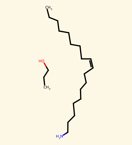 CCCCCCCC/C=C\CCCCCCCCN.CCCO